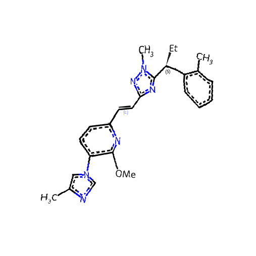 CC[C@@H](c1ccccc1C)c1nc(/C=C/c2ccc(-n3cnc(C)c3)c(OC)n2)nn1C